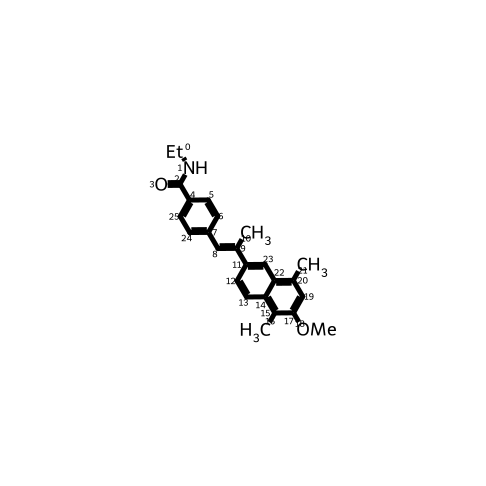 CCNC(=O)c1ccc(C=C(C)c2ccc3c(C)c(OC)cc(C)c3c2)cc1